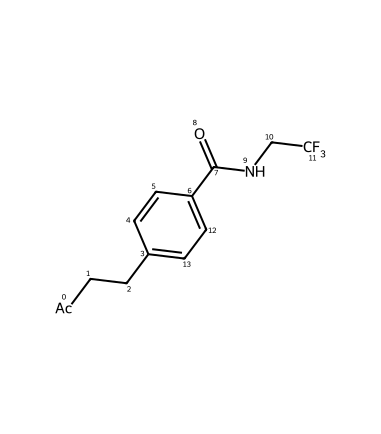 CC(=O)CCc1ccc(C(=O)NCC(F)(F)F)cc1